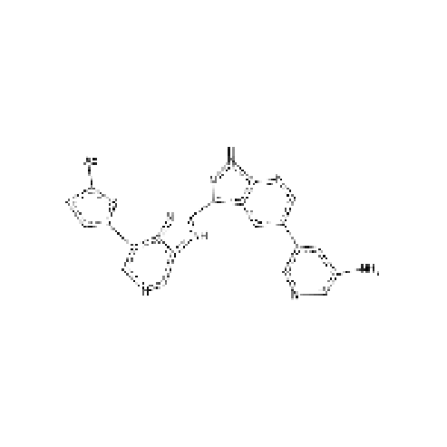 CC(=O)c1ccc(-c2cncc3[nH]c(-c4n[nH]c5ncc(-c6cncc(N)c6)cc45)nc23)s1